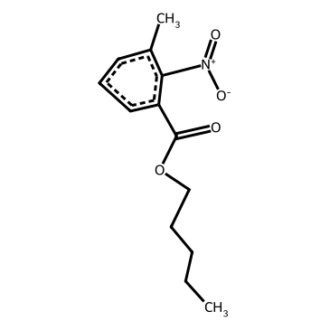 CCCCCOC(=O)c1cccc(C)c1[N+](=O)[O-]